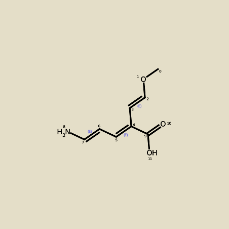 CO/C=C/C(=C\C=C\N)C(=O)O